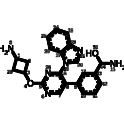 NC1CC(Oc2ncc(-c3cccc(C(N)O)c3)c(-n3cnc4ccccc43)n2)C1